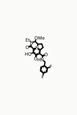 CCN1C(=O)c2c(O)c(=O)c(C(=O)NCc3ccc(F)cc3F)c3n2C(CC3)C1OC